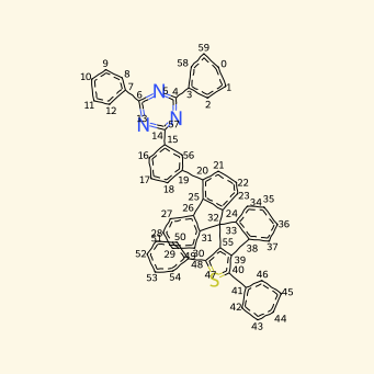 c1ccc(-c2nc(-c3ccccc3)nc(-c3cccc(-c4cccc5c4-c4ccccc4C54c5ccccc5-c5c(-c6ccccc6)sc(-c6ccccc6)c54)c3)n2)cc1